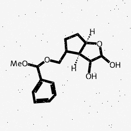 COC(OCC1CC[C@H]2OC(O)C(O)[C@@H]12)c1ccccc1